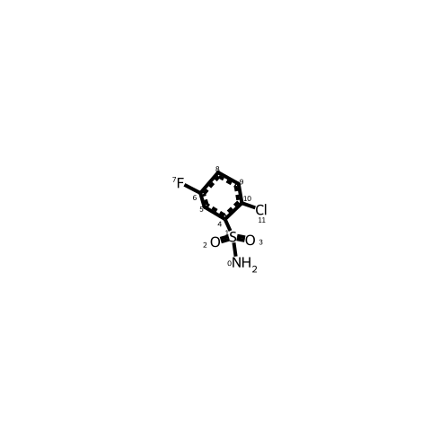 NS(=O)(=O)c1cc(F)ccc1Cl